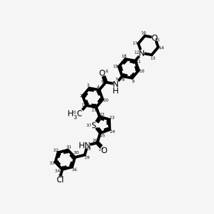 Cc1ccc(C(=O)Nc2ccc(N3CCOCC3)cc2)cc1-c1ccc(C(=O)NCc2cccc(Cl)c2)s1